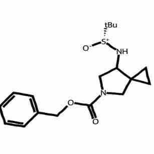 CC(C)(C)[S@@+]([O-])NC1CN(C(=O)OCc2ccccc2)CC12CC2